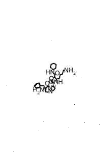 NCCCCC(NC(=O)[C@@H]1CCN2CC[C@@](N)(Cc3ccccc3)C(=O)N12)C(=O)C(=O)NC1CCCCC1